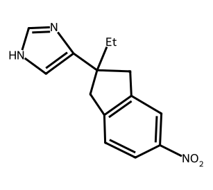 CCC1(c2c[nH]cn2)Cc2ccc([N+](=O)[O-])cc2C1